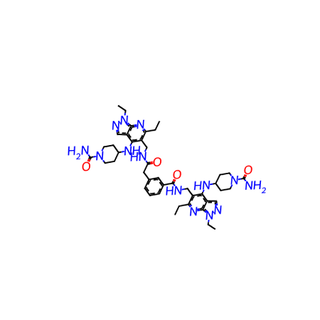 CCc1nc2c(cnn2CC)c(NC2CCN(C(N)=O)CC2)c1CNC(=O)Cc1cccc(C(=O)NCc2c(CC)nc3c(cnn3CC)c2NC2CCN(C(N)=O)CC2)c1